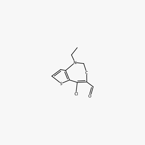 CCN1CCC(C=O)=C(Cl)c2sccc21